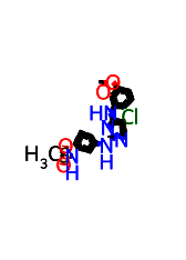 CS(=O)(=O)Nc1cccc(Nc2nccc(Nc3c(Cl)ccc4c3OCO4)n2)c1